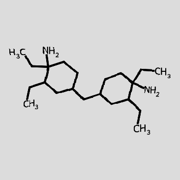 CCC1CC(CC2CCC(N)(CC)C(CC)C2)CCC1(N)CC